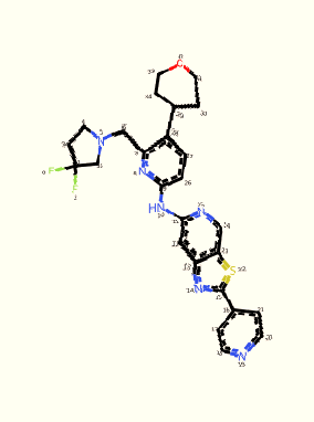 FC1(F)CCN(Cc2nc(Nc3cc4nc(-c5ccncc5)sc4cn3)ccc2C2CCOCC2)C1